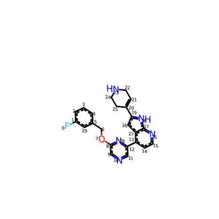 Fc1cccc(COc2cncc(-c3ccnc4[nH]c(C5=CCNCC5)cc34)n2)c1